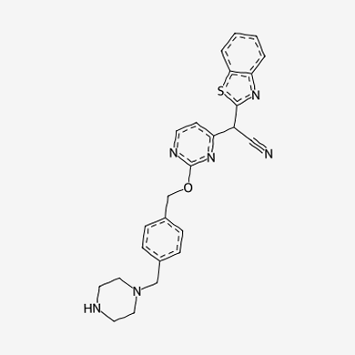 N#CC(c1ccnc(OCc2ccc(CN3CCNCC3)cc2)n1)c1nc2ccccc2s1